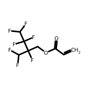 C=CC(=O)OCC(F)(C(F)F)C(F)(F)C(F)F